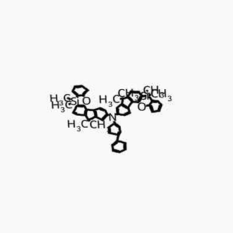 CC1(C)c2cc(N(c3ccc(-c4ccccc4)cc3)c3ccc4c(c3)C(C)(C)c3ccc5c(c3-4)Oc3ccccc3[Si]5(C)C)ccc2-c2c1ccc1c2Oc2ccccc2[Si]1(C)C